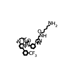 C[C@@H]1CCN(C)c2ccc(-c3cccc(C(F)(F)F)c3)nc2N1C(=O)Nc1cccc(-n2cc(CNC(=O)CCCCCN)nn2)c1